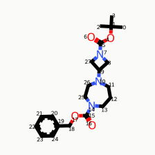 CC(C)(C)OC(=O)N1CC(N2CCCN(C(=O)OCc3ccccc3)CC2)C1